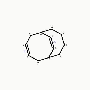 [CH]1/C=C\CC2/C=C\C1CCCC2